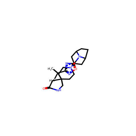 CC(C)c1noc(N2C3CCC2CC(N2CCC4(CC2)CNC(=O)C4)C3)n1